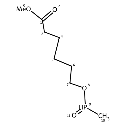 COC(=O)CCCCCO[PH](C)=O